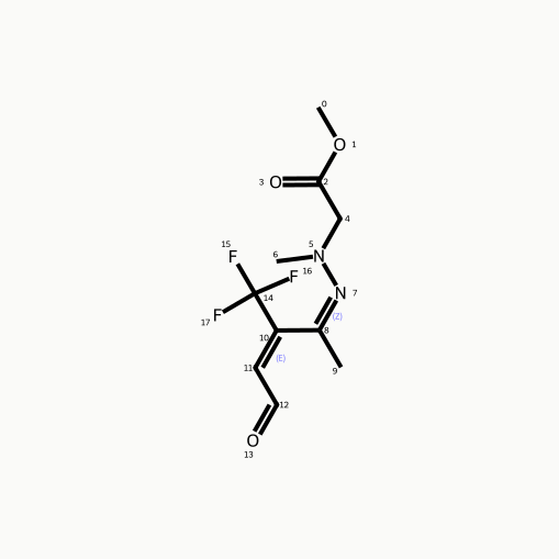 COC(=O)CN(C)/N=C(C)\C(=C/C=O)C(F)(F)F